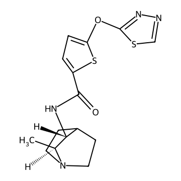 C[C@H]1[C@H](NC(=O)c2ccc(Oc3nncs3)s2)C2CCN1CC2